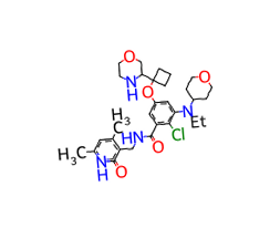 CCN(c1cc(OC2(C3COCCN3)CCC2)cc(C(=O)NCc2c(C)cc(C)[nH]c2=O)c1Cl)C1CCOCC1